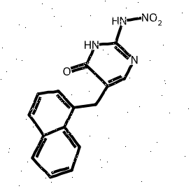 O=c1[nH]c(N[N+](=O)[O-])ncc1Cc1cccc2ccccc12